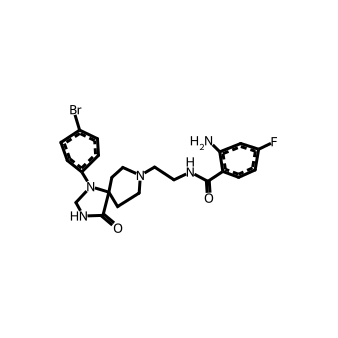 Nc1cc(F)ccc1C(=O)NCCN1CCC2(CC1)C(=O)NCN2c1ccc(Br)cc1